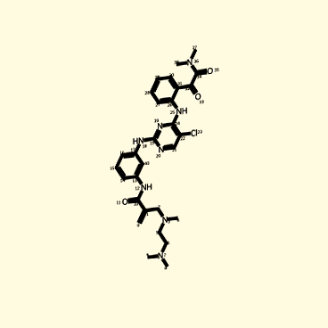 C=C(CN(C)CCN(C)C)C(=O)Nc1cccc(Nc2ncc(Cl)c(Nc3ccccc3C(=O)C(=O)N(C)C)n2)c1